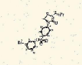 Cc1cc(Br)cc(OS(=O)(=O)c2ccc(N3CCN(CC(C)C)C3=O)cc2)c1